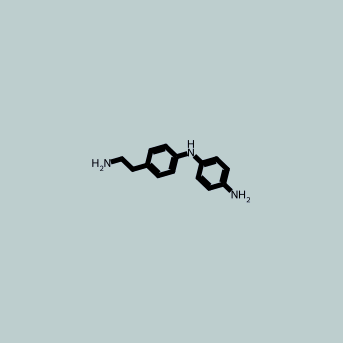 NCCc1ccc(Nc2ccc(N)cc2)cc1